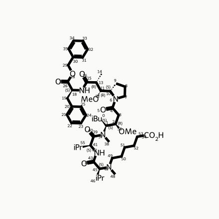 CC[C@H](C)[C@@H]([C@@H](CC(=O)N1CCC[C@H]1[C@H](OC)[C@@H](C)C(=O)N[C@@H](Cc1ccccc1)C(=O)OCc1ccccc1)OC)N(C)C(=O)[C@@H](NC(=O)[C@H](C(C)C)N(C)CCCCCC(=O)O)C(C)C